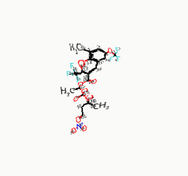 Cc1cc(OC(F)(F)F)cc2c1OC(C(F)(F)F)C(C(=O)OC(C)OC(=O)OC(C)CCO[N+](=O)[O-])=C2